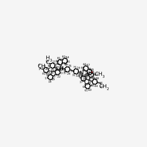 C=Cc1ccc(C2(c3cc(C)ccc3C)c3ccccc3-c3ccc(N(c4ccc(-c5ccc(N(c6ccc7c(c6)C(c6ccc(C=C)cc6)(c6cc(C)ccc6C)c6ccccc6-7)c6cccc7ccccc67)cc5)cc4)c4cccc5ccccc45)cc32)cc1